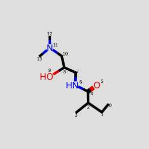 CCC(C)C(=O)NCC(O)CN(C)C